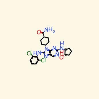 NC(=O)[C@H]1CC[C@H](n2c(Nc3c(Cl)cccc3Cl)nc3cnc(N[C@H]4CCC[C@@H]4O)nc32)CC1